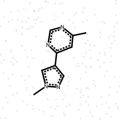 Cc1cc(-c2cnn(C)c2)ncn1